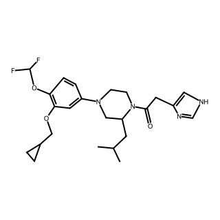 CC(C)CC1CN(c2ccc(OC(F)F)c(OCC3CC3)c2)CCN1C(=O)Cc1c[nH]cn1